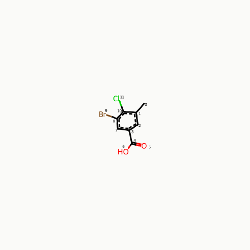 Cc1cc(C(=O)O)cc(Br)c1Cl